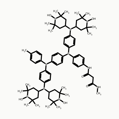 CNC(=O)CC(=O)Nc1ccc(N(c2ccc(N(c3ccc(C)cc3)c3ccc(N(C4CC(C)(C)N(O)C(C)(C)C4)C4CC(C)(C)N(O)C(C)(C)C4)cc3)cc2)c2ccc(N(C3CC(C)(C)N(O)C(C)(C)C3)C3CC(C)(C)N(O)C(C)(C)C3)cc2)cc1